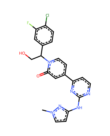 Cn1ccc(Nc2nccc(-c3ccn(C(CO)c4ccc(Cl)c(F)c4)c(=O)c3)n2)n1